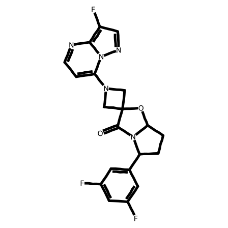 O=C1N2C(CCC2c2cc(F)cc(F)c2)OC12CN(c1ccnc3c(F)cnn13)C2